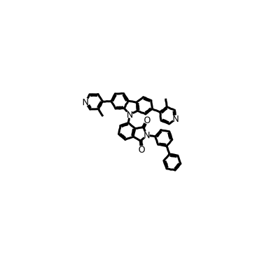 Cc1cnccc1-c1ccc2c3ccc(-c4ccncc4C)cc3n(-c3cccc4c3C(=O)N(c3cccc(-c5ccccc5)c3)C4=O)c2c1